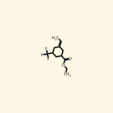 C/C=C1/CC(C(=O)OCC)CC(C(F)(F)F)C1